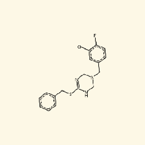 Fc1ccc(CN2CN=C(SCc3ccccc3)NC2)cc1Cl